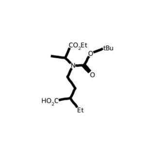 CCOC(=O)C(C)N(CCC(CC)C(=O)O)C(=O)OC(C)(C)C